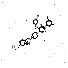 NC1=CC=C(CSN2CCN(c3cnn(-c4cc(F)cc(F)c4)c(=O)c3OC3CC[C@@H](F)C3)CC2)NC1